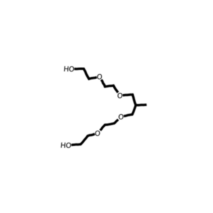 CC(COCCOCCO)COCCOCCO